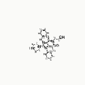 O=c1c2c(nc(N3CCNCC3)n2Cc2ccccc2)n(Cc2ccccc2)c(=O)n1CCO